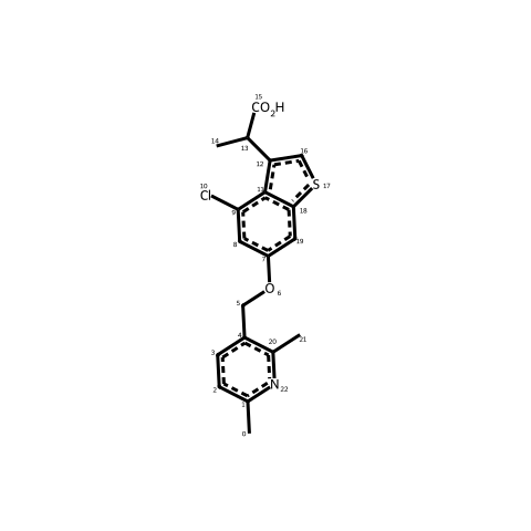 Cc1ccc(COc2cc(Cl)c3c(C(C)C(=O)O)csc3c2)c(C)n1